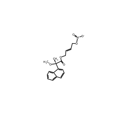 CO[C@](C)(C(=O)OCC=CCO[N+](=O)[O-])c1cccc2ccccc12